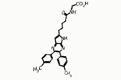 Cc1ccc(-c2nc3cc(CCCCC(=O)NCC(=O)O)[nH]c3nc2-c2ccc(C)cc2)cc1